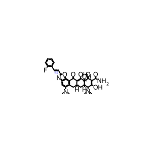 CN(C)c1cc2nc(/C=C/c3ccccc3F)oc2c2c1C[C@H]1C[C@H]3[C@H](N(C)C)C(O)=C(C(N)=O)C(=O)[C@@]3(O)C(O)=C1C2=O